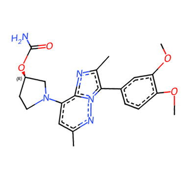 COc1ccc(-c2c(C)nc3c(N4CC[C@@H](OC(N)=O)C4)cc(C)nn23)cc1OC